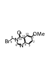 COc1ccc2ncn(CBr)c(=O)c2c1